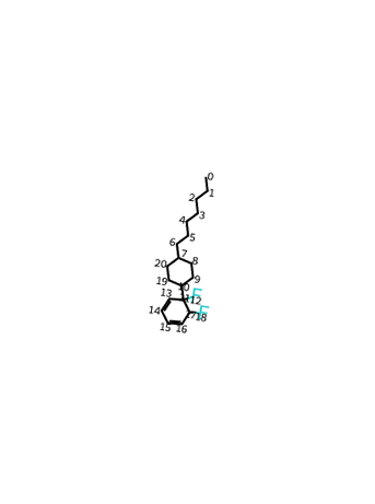 CCCCCCCC1CCC(C2(F)C=CC=CC2F)CC1